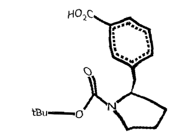 CC(C)(C)OC(=O)N1CCC[C@@H]1c1cccc(C(=O)O)c1